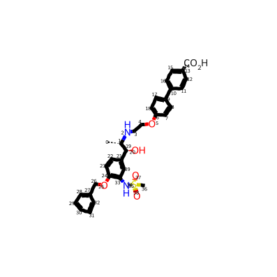 C[C@H](NCCOc1ccc(-c2ccc(C(=O)O)cc2)cc1)[C@H](O)c1ccc(OCc2ccccc2)c(NS(C)(=O)=O)c1